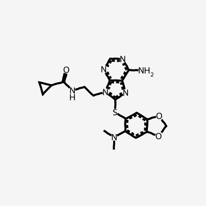 CN(C)c1cc2c(cc1Sc1nc3c(N)ncnc3n1CCNC(=O)C1CC1)OCO2